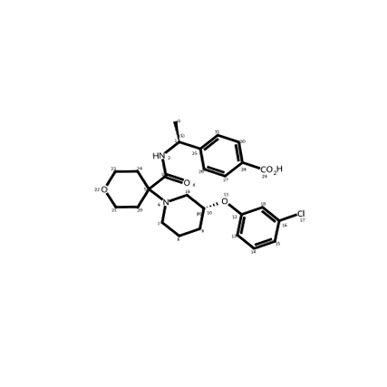 C[C@H](NC(=O)C1(N2CCC[C@@H](Oc3cccc(Cl)c3)C2)CCOCC1)c1ccc(C(=O)O)cc1